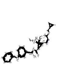 CC1(C)[C@H](C(=O)O[C@H](C#N)c2cccc(Oc3ccccc3)c2)[C@@H]1/C=C\C(=O)OCC1CC1